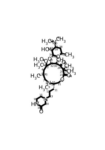 CO[C@]1(C)C[C@@H](C)CN(C)[C@@H](CCCN2CCNC(=O)C2)COC(=O)C(C)(C)C(=O)[C@H](C)[C@H]1O[C@@H]1O[C@H](C)C[C@H](N(C)C)[C@H]1O